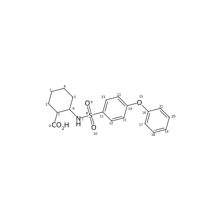 O=C(O)C1CCCCC1NS(=O)(=O)c1ccc(Oc2ccccc2)cc1